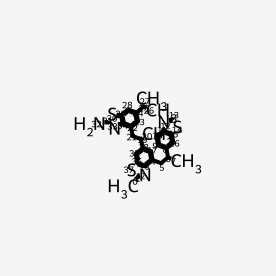 Cc1nc2c(CC(C)c3ccc4ncsc4c3)cc(C(C)Cc3cc(C(C)C)cc4sc(N)nc34)cc2s1